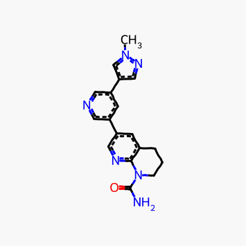 Cn1cc(-c2cncc(-c3cnc4c(c3)CCCN4C(N)=O)c2)cn1